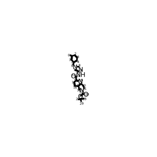 Cc1cccc(Cn2cnc(NC(=O)c3ccc4c(n3)CCN(C(=O)OC(C)(C)C)C4)c2)c1